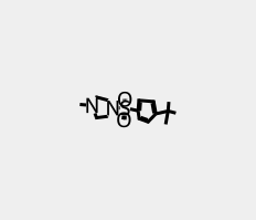 CN1CCN(S(=O)(=O)c2ccc(C(C)(C)C)cc2)CC1